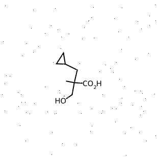 CC(CO)(CC1CC1)C(=O)O